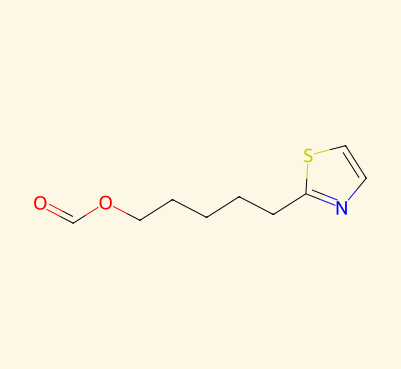 O=COCCCCCc1nccs1